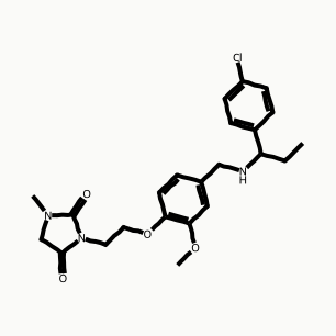 CCC(NCc1ccc(OCCN2C(=O)CN(C)C2=O)c(OC)c1)c1ccc(Cl)cc1